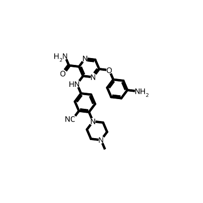 CN1CCN(c2ccc(Nc3nc(Oc4cccc(N)c4)cnc3C(N)=O)cc2C#N)CC1